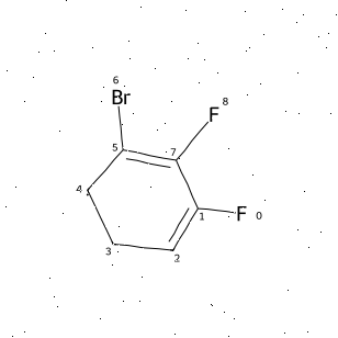 FC1=CC[CH]C(Br)=C1F